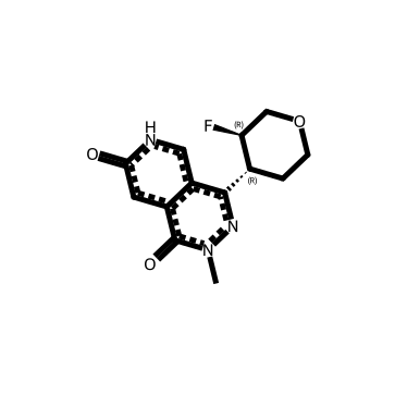 Cn1nc([C@H]2CCOC[C@@H]2F)c2c[nH]c(=O)cc2c1=O